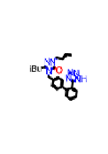 CC=CCn1nc(C(C)CC)n(Cc2ccc(-c3ccccc3-c3nnn[nH]3)cc2)c1=O